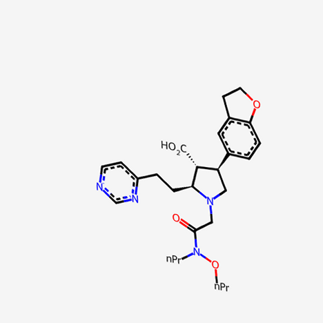 CCCON(CCC)C(=O)CN1C[C@H](c2ccc3c(c2)CCO3)[C@@H](C(=O)O)[C@@H]1CCc1ccncn1